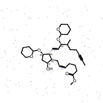 CC#CCCC(C)[C@@H](/C=C/[C@@H]1[C@@H](C/C=C\CCCC(=O)OC)[C@@H](O)C[C@H]1OC1CCCCO1)OC1CCCCO1